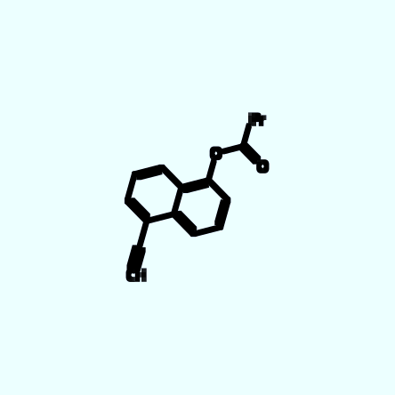 C#Cc1cccc2c(OC(=O)C(C)C)cccc12